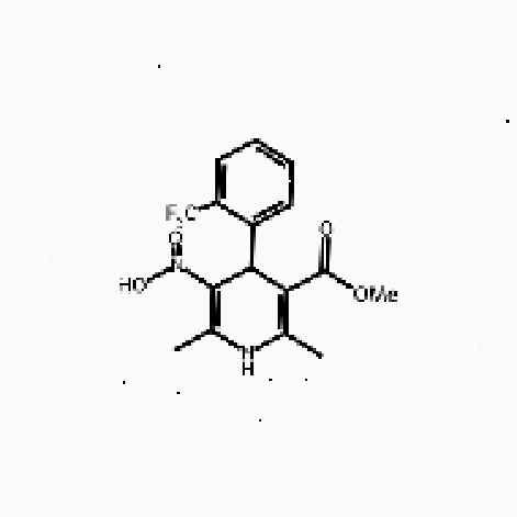 COC(=O)C1=C(C)NC(C)=C([N+](=O)O)C1c1ccccc1C(F)(F)F